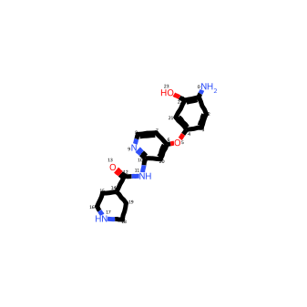 Nc1ccc(Oc2ccnc(NC(=O)C3CCNCC3)c2)cc1O